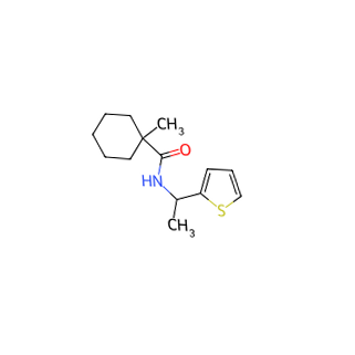 CC(NC(=O)C1(C)CCCCC1)c1cccs1